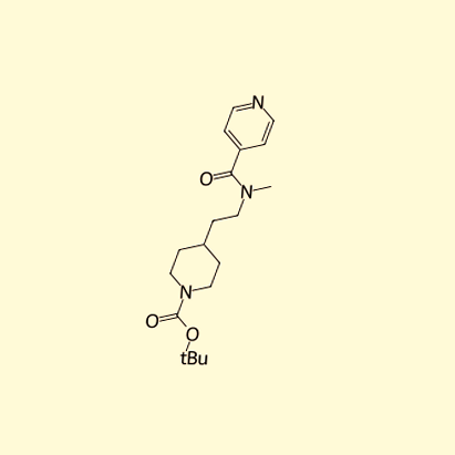 CN(CCC1CCN(C(=O)OC(C)(C)C)CC1)C(=O)c1ccncc1